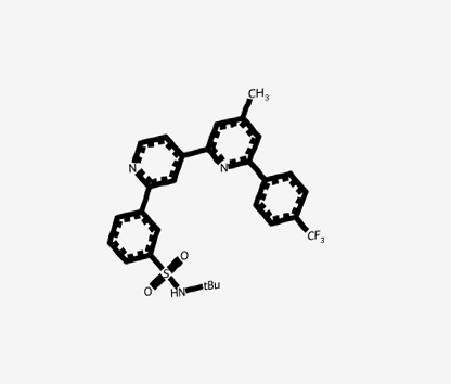 Cc1cc(-c2ccc(C(F)(F)F)cc2)nc(-c2ccnc(-c3cccc(S(=O)(=O)NC(C)(C)C)c3)c2)c1